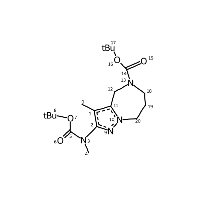 Cc1c(N(C)C(=O)OC(C)(C)C)nn2c1CN(C(=O)OC(C)(C)C)CCC2